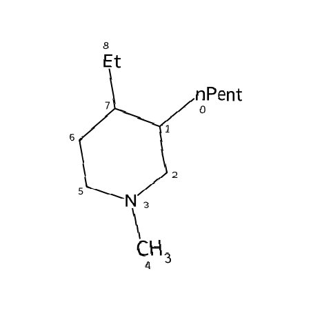 CCCCCC1CN(C)CCC1CC